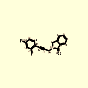 O=C1c2ccccc2CN1CC#Cc1ccc(F)cc1F